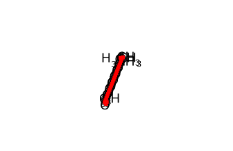 CC(C)(C)OC(=O)NCCOCCOCCOCCOCCOCCOCCOCCOCCOCCOCCOCCNC(=O)c1ccc(C=O)cc1